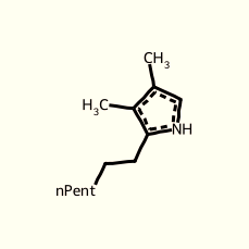 CCCCCCCc1[nH]cc(C)c1C